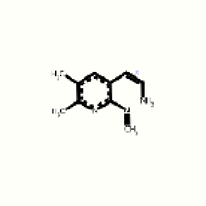 C=Nc1nc(C)c(C)cc1/C=C\N